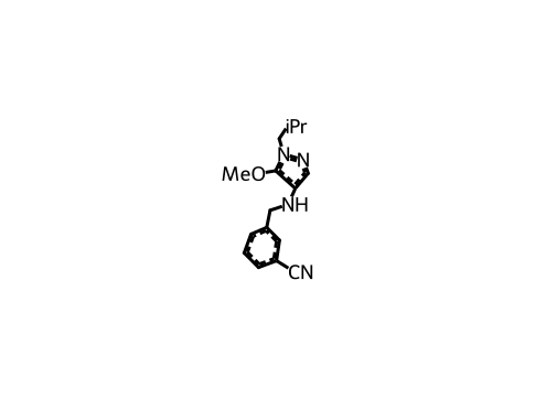 COc1c(NCc2cccc(C#N)c2)cnn1CC(C)C